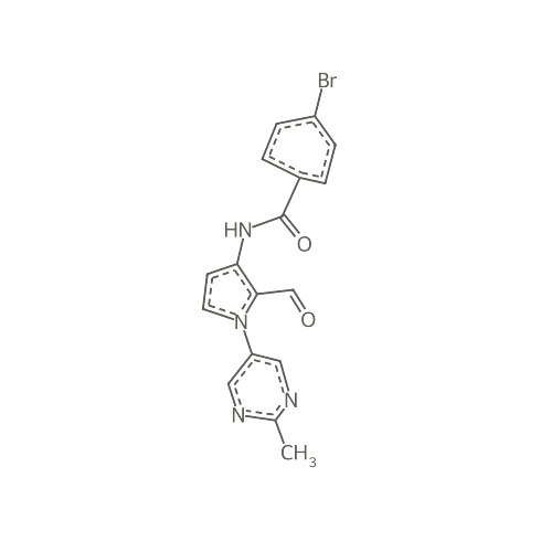 Cc1ncc(-n2ccc(NC(=O)c3ccc(Br)cc3)c2C=O)cn1